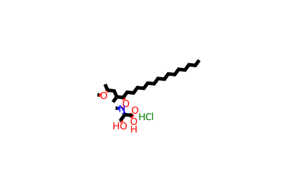 CCCCCCCCCCCCCCCC(ON(C)C(CO)C(=O)O)C(C)CC(C)OC.Cl